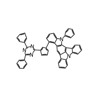 c1ccc(-c2nc(-c3ccccc3)nc(-c3cccc(-c4cccc5c4c4cc6c7ccccc7n7c8ccccc8c(c4n5-c4ccccc4)c67)c3)n2)cc1